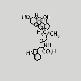 CC(CCC(=O)NC(Cc1c[nH]c2ccccc12)C(=O)O)[C@H]1CC[C@H]2[C@@H]3[C@H](O)C[C@@H]4C[C@H](O)CC[C@]4(C)[C@H]3CC[C@]12C